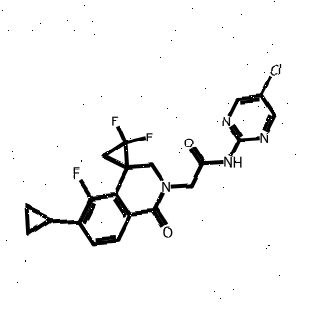 O=C(CN1CC2(CC2(F)F)c2c(ccc(C3CC3)c2F)C1=O)Nc1ncc(Cl)cn1